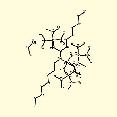 CCCCCCCCN(C(CCCCCCC)N=P(N(C)C)(N(C)C)N(C)C)P(=NP)(N=P(N(C)C)(N(C)C)N(C)C)N=P(N(C)C)(N(C)C)N(C)C.CCO